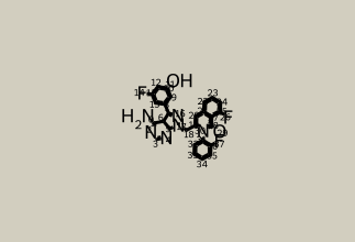 NC1=NC=NC2C1C(c1cc(O)cc(F)c1)=NN2Cc1cc2cccc(F)c2c(=O)n1-c1ccccc1F